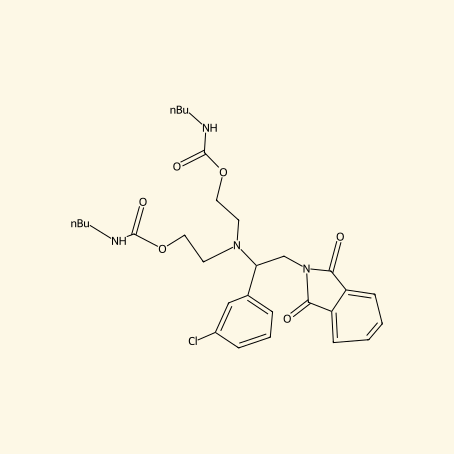 CCCCNC(=O)OCCN(CCOC(=O)NCCCC)C(CN1C(=O)c2ccccc2C1=O)c1cccc(Cl)c1